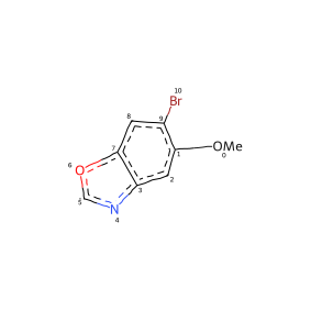 COc1cc2n[c]oc2cc1Br